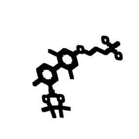 Cc1ccc(-c2c(C)cc(OCCCS(C)(=O)=O)cc2C)cc1B1OC(C)(C)C(C)(C)O1